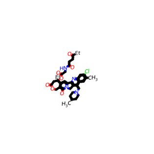 CCC(=O)CCC(=O)NCC(=O)O[C@]1(CC)CC(=O)OCc2c1cc1n(c2=O)Cc2c-1nc1cc(Cl)c(C)cc1c2CN1CCC(C)CC1